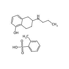 CCCNC1CCc2c(O)cccc2C1.Cc1ccccc1S(=O)(=O)O